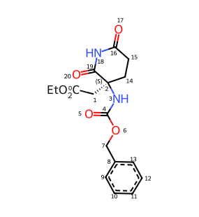 CCOC(=O)C[C@@]1(NC(=O)OCc2ccccc2)CCC(=O)NC1=O